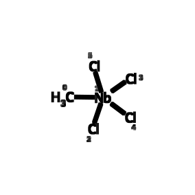 [CH3][Nb]([Cl])([Cl])([Cl])[Cl]